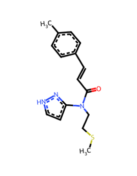 CSCCN(C(=O)C=Cc1ccc(C)cc1)c1cc[nH]n1